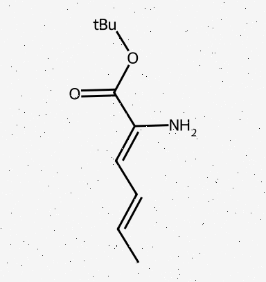 CC=CC=C(N)C(=O)OC(C)(C)C